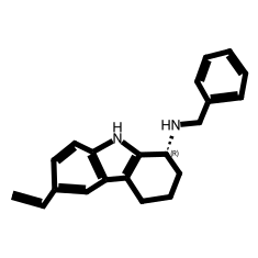 C=Cc1ccc2[nH]c3c(c2c1)CCC[C@H]3NCc1ccccc1